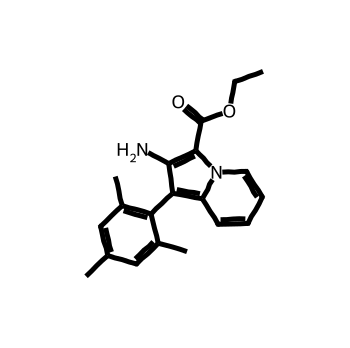 CCOC(=O)c1c(N)c(-c2c(C)cc(C)cc2C)c2ccccn12